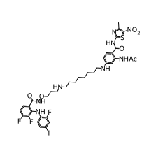 CC(=O)Nc1cc(NCCCCCCCCNCCCONC(=O)c2ccc(F)c(F)c2Nc2ccc(I)cc2F)ccc1C(=O)Nc1nc(C)c([N+](=O)[O-])s1